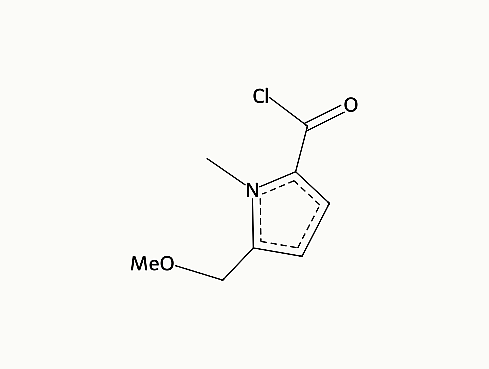 COCc1ccc(C(=O)Cl)n1C